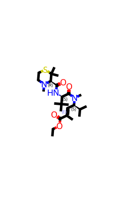 CCOC(=O)/C(C)=C/[C@H](C(C)C)N(C)C(=O)[C@@H](NC(=O)[C@H]1N(C)CCSC1(C)C)C(C)(C)C